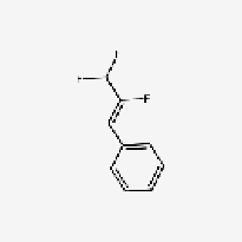 FC(=Cc1ccccc1)C(F)F